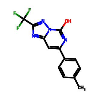 Cc1ccc(-c2cc3nc(C(F)(F)F)nn3c(O)n2)cc1